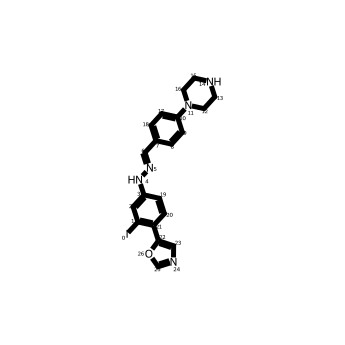 Ic1cc(N/N=C/c2ccc(N3CCNCC3)cc2)ccc1-c1cnco1